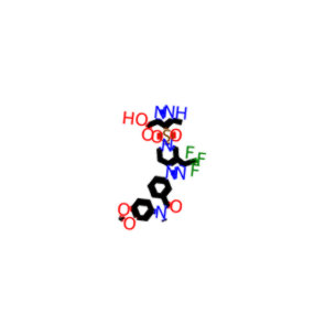 Cc1[nH]nc(C(=O)O)c1S(=O)(=O)N1CCc2c(c(C(F)(F)F)nn2-c2cccc(C(=O)N(C)c3ccc4c(c3)OCO4)c2)C1